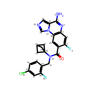 Nc1nc2cc(F)c(C(=O)N(Cc3ccc(Cl)cc3F)C34CC(C3)C4)cc2n2cncc12